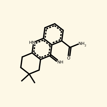 CC1(C)CCc2[nH]c3cccc(C(N)=O)c3c(=N)c2C1